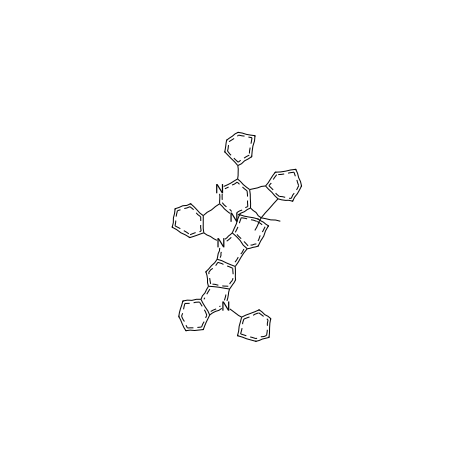 CC1(C)c2ccccc2-c2c(-c3ccccc3)nc(-c3ccccc3-n3c4ccccc4c4cc5c(cc43)c3ccccc3n5-c3ccccc3)nc21